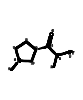 CC(C)N(C)C(=O)[C@H]1CCN(C)C1